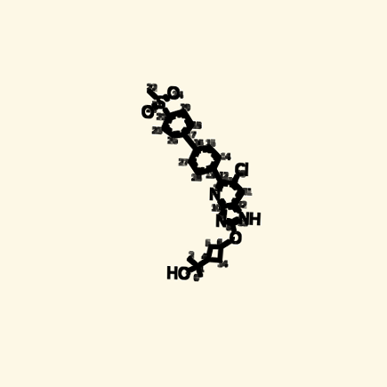 CC(C)(O)C1CC(Oc2nc3nc(-c4ccc(-c5ccc(S(C)(=O)=O)cc5)cc4)c(Cl)cc3[nH]2)C1